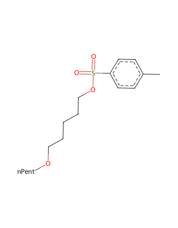 CCCCCOCCCCCOS(=O)(=O)c1ccc(C)cc1